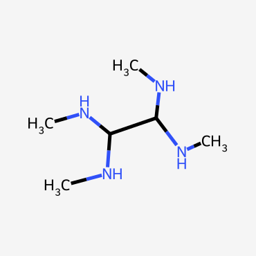 CNC(NC)C(NC)NC